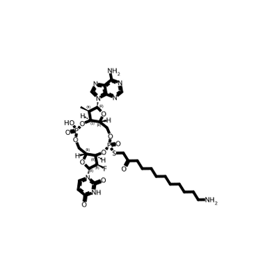 C[C@@H]1[C@@H]2OP(=O)(O)OC[C@H]3O[C@@H](n4ccc(=O)[nH]c4=O)[C@H](F)[C@@H]3OP(=O)(SCC(=O)CCCCCCCCCCN)OC[C@H]2O[C@H]1n1cnc2c(N)ncnc21